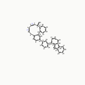 C=C1/C=C\C=C/Cc2ccc(-c3cccc(-c4cccc5c4sc4ccccc45)c3)cc2-c2ccccc21